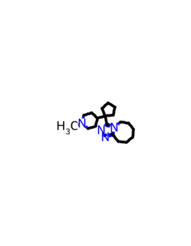 CN1CCC(C2(c3nnc4n3CCCCCC4)CCCC2)CC1